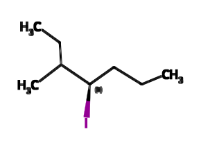 CCC[C@@H](I)C(C)CC